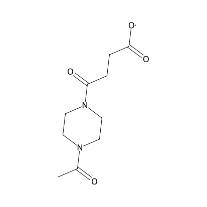 CC(=O)N1CCN(C(=O)CCC([O])=O)CC1